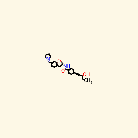 CCC(O)C#Cc1ccc(C(=O)N[C@H]2COc3cc(CN4CCCC4)ccc3C2)cc1